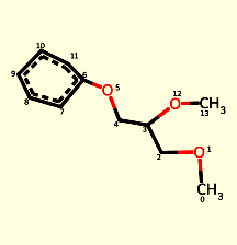 COCC(COc1ccccc1)OC